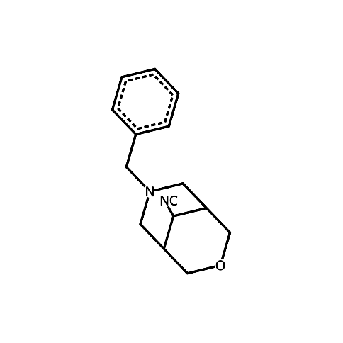 N#CC1C2COCC1CN(Cc1ccccc1)C2